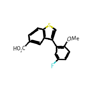 COc1ccc(F)cc1-c1csc2ccc(C(=O)O)cc12